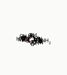 B[P@@]1(=O)OCC2OC(n3cnc4c(N)ncnc43)C(F)C2O[P@](=O)(S)OCC2OC(n3cnc4c(=O)[nH]c(C)nc43)C(O1)C2OC